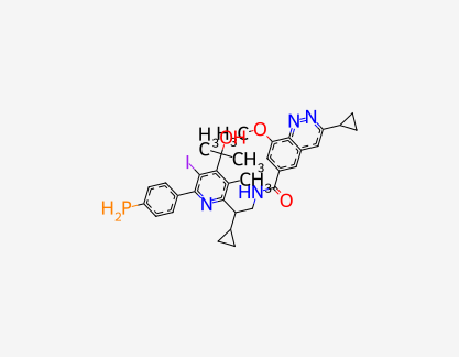 COc1cc(C(=O)NCC(c2nc(-c3ccc(P)cc3)c(I)c(C(C)(C)O)c2C)C2CC2)cc2cc(C3CC3)nnc12